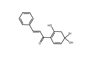 [2H]C1(O)C=CC(C(=O)/C=C/c2ccccc2)=C(O)C1